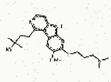 COc1cc2c(cc1OCCCN(C)C)[nH]c1ccnc(CCC(C)(C)O)c12